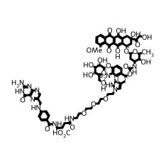 COc1cccc2c1C(=O)c1c(O)c3c(c(O)c1C2=O)C[C@@](O)(C(=O)CO)C[C@@H]3OC1CC(NC(=O)O[C@H](CC2=CN(CCOCCOCCOCCNC(=O)CC[C@H](NC(=O)c3ccc(NCc4cnc5nc(N)[nH]c(=O)c5n4)cc3)C(=O)O)NN2)c2ccc(O[C@@H]3OC(CO)[C@H](O)C(O)[C@@H]3O)c([N+](=O)[O-])c2)C(O)C(C)O1